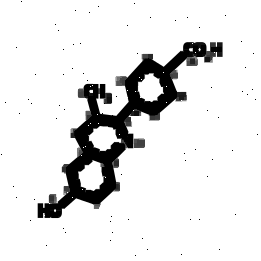 Cc1cc2cc(O)ccc2nc1-c1ccc(C(=O)O)cc1